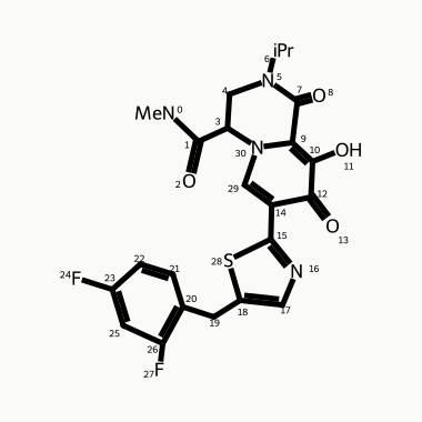 CNC(=O)C1CN(C(C)C)C(=O)c2c(O)c(=O)c(-c3ncc(Cc4ccc(F)cc4F)s3)cn21